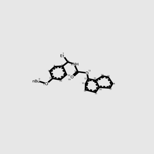 CCCCOc1ccc(C(CC)NC(=O)Oc2cccc3ccccc23)cc1